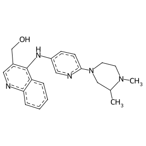 CC1CN(c2ccc(Nc3c(CO)cnc4ccccc34)cn2)CCN1C